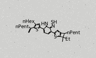 C=C(CCCCC)c1sc(C2=CC=C(c3cc4c(s3)C(C)(CC)C4CCCCC)/C(=N/S)C2=N)cc1CCCCCC